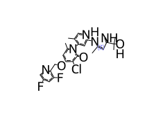 C/C(=C/C(=N)C(C)(C)O)Nc1cc(-n2c(C)cc(OCc3ncc(F)cc3F)c(Cl)c2=O)c(C)cn1